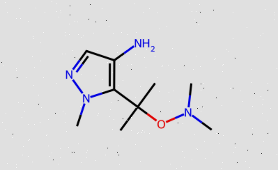 CN(C)OC(C)(C)c1c(N)cnn1C